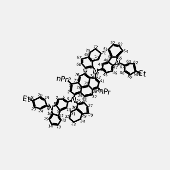 CCCc1cc(N(c2ccc3c(c2)c2ccccc2n3-c2ccc(CC)cc2)c2cccc3c2CCCC3)c2ccc3c(CCC)cc(N(c4ccc5c(c4)c4ccccc4n5-c4ccc(CC)cc4)c4cccc5c4CCCC5)c4ccc1c2c34